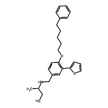 CC(CO)NCc1ccc(OCCCCCc2ccccc2)c(-c2cccs2)c1